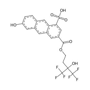 O=C(OCCC(O)(C(F)(F)F)C(F)(F)F)c1cc(S(=O)(=O)O)c2cc3ccc(O)cc3cc2c1